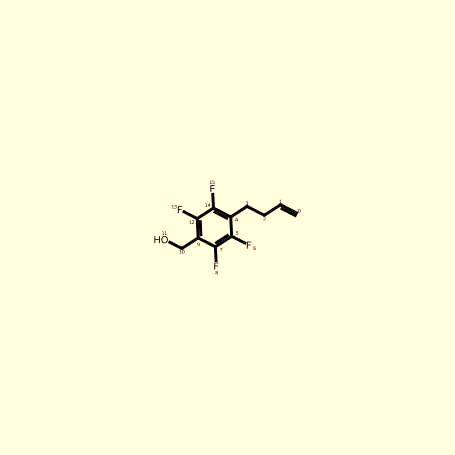 C=CCCc1c(F)c(F)c(CO)c(F)c1F